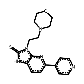 S=c1[nH]c2ccc(-c3ccncc3)nc2n1CCN1CCOCC1